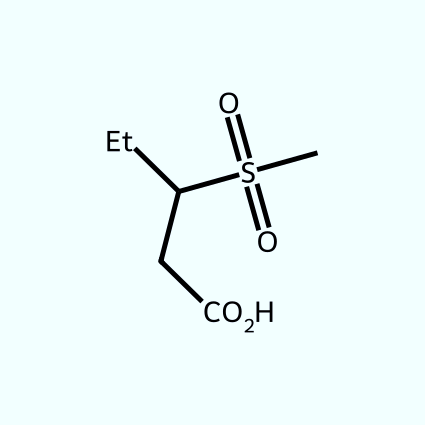 CCC(CC(=O)O)S(C)(=O)=O